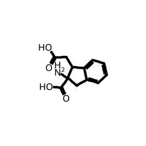 NC1(C(=O)O)Cc2ccccc2C1CC(=O)O